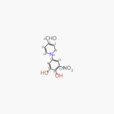 O=CC1=CCN(c2cc(O)c(O)c([N+](=O)[O-])c2)C=C1